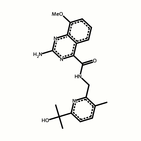 COc1cccc2c(C(=O)NCc3nc(C(C)(C)O)ccc3C)nc(N)nc12